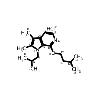 Cc1c(C)n(CC(C)C)c2c(OCCC(C)C)nccc12.Cl